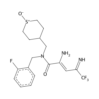 N=C(/C=C(\N)C(=O)N(Cc1ccccc1F)CC1CC[S+]([O-])CC1)C(F)(F)F